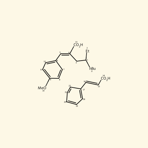 CCCCC(CC)CC(=Cc1ccc(OC)cc1)C(=O)O.O=C(O)C=Cc1ccccc1